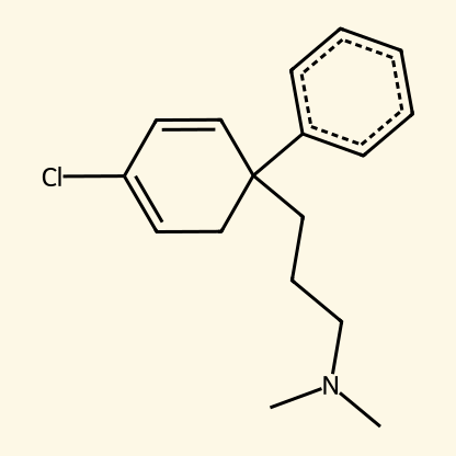 CN(C)CCCC1(c2ccccc2)C=CC(Cl)=CC1